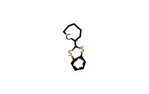 c1ccc2c(c1)SC([C]1CCCCCC1)S2